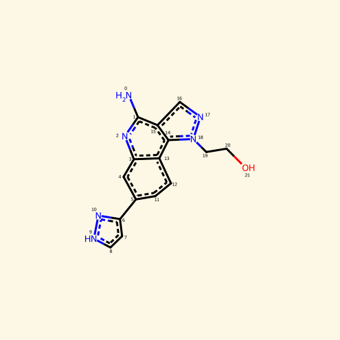 Nc1nc2cc(-c3cc[nH]n3)ccc2c2c1cnn2CCO